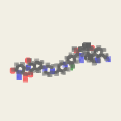 CC1(C)C(NC(=O)c2ccc(N3CCC(CN4CCN(c5ccc6c(c5)C(=O)N(C5CCC(=O)NC5O)C6=O)CC4)CC3)c(F)c2)C2(C)c3ccnc4c(C#N)ccc(c34)O[C@@H]12